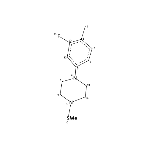 CSN1CCN(c2ccc(C)c(F)c2)CC1